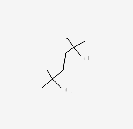 CC([SiH3])(Cl)CCC(C)([SiH3])Cl